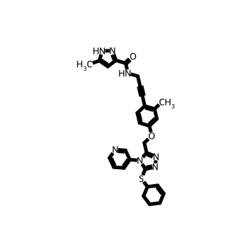 Cc1cc(C(=O)NCC#Cc2ccc(OCc3nnc(SC4C=CCCC4)n3-c3cccnc3)cc2C)n[nH]1